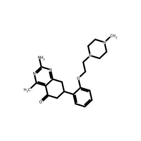 Cc1nc(N)nc2c1C(=O)CC(c1ccccc1OCCN1CCN(C)CC1)C2